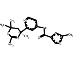 Cc1nc(C(=O)Nc2ccnc([C@]3(C)CC(C)(C)SC(N)=N3)c2)co1